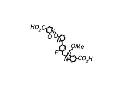 COCCn1c(Cc2ccc(-c3cccc(OCn4ccc(C(=O)O)cc4=O)n3)cc2F)nc2ccc(C(=O)O)cc21